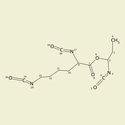 CCC(N=C=O)OC(=O)C(CCCCN=C=O)N=C=O